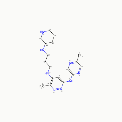 FC(F)(F)c1cnc(Nc2cc(NCCCNC3CCCNC3)c(C(F)(F)F)nn2)cn1